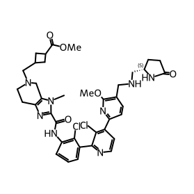 COC(=O)C1CC(CN2CCc3nc(C(=O)Nc4cccc(-c5nccc(-c6ccc(CNC[C@@H]7CCC(=O)N7)c(OC)n6)c5Cl)c4Cl)n(C)c3C2)C1